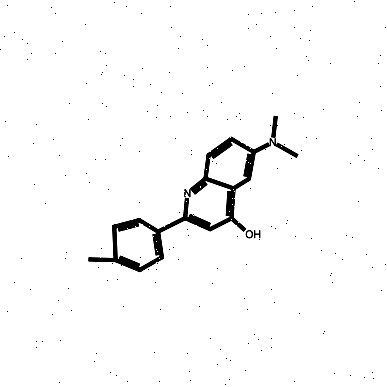 Cc1ccc(-c2cc(O)c3cc(N(C)C)ccc3n2)cc1